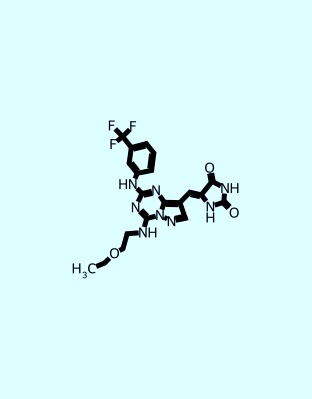 CCOCCNc1nc(Nc2cccc(C(F)(F)F)c2)nc2c(/C=C3\NC(=O)NC3=O)cnn12